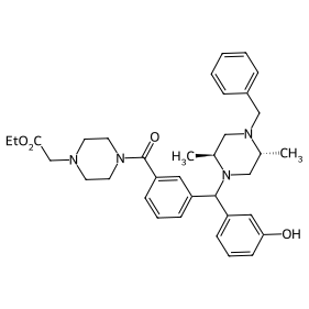 CCOC(=O)CN1CCN(C(=O)c2cccc(C(c3cccc(O)c3)N3C[C@@H](C)N(Cc4ccccc4)C[C@@H]3C)c2)CC1